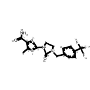 Cc1nc(N2CCN(Cc3ccc(C(F)(F)F)cc3)C2=O)sc1C(N)=O